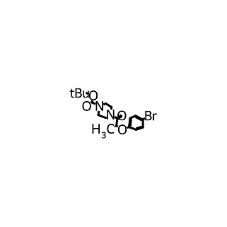 C[C@H](Oc1ccc(Br)cc1)C(=O)N1CCN(C(=O)OC(C)(C)C)CC1